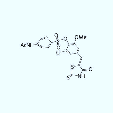 COc1cc(/C=C2\SC(=S)NC2=O)cc(Cl)c1OS(=O)(=O)c1ccc(NC(C)=O)cc1